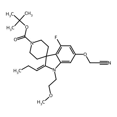 CC/C=C1/N(CCOC)c2cc(OCC#N)cc(F)c2C12CCN(C(=O)OC(C)(C)C)CC2